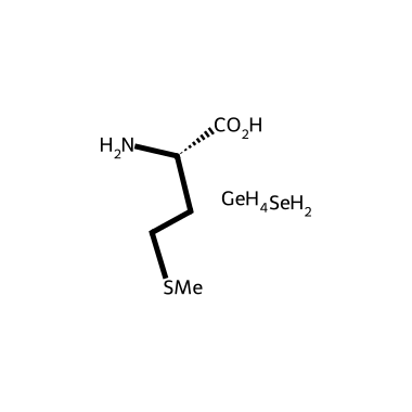 CSCC[C@H](N)C(=O)O.[GeH4].[SeH2]